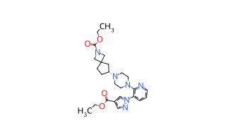 CCOC(=O)c1cnn(-c2cccnc2N2CCN([C@@H]3CCC4(C3)CN(C(=O)OCC)C4)CC2)c1